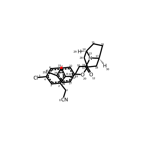 N#CCc1cc(Cl)ccc1OCC(=O)N1[C@@H]2CC[C@H]1CC(Oc1ccc(F)cc1)C2